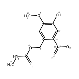 CNC(=O)OCc1cc(OC)c(O)cc1[N+](=O)[O-]